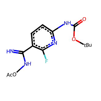 CC(=O)ONC(=N)c1ccc(NC(=O)OC(C)(C)C)nc1F